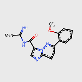 CNC(=N)NC(=O)c1cnc2ccc(-c3ccccc3OC(F)(F)F)nn12